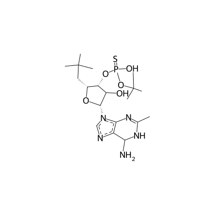 CC1=Nc2c(ncn2[C@@H]2O[C@H](CC(C)(C)C)[C@H](OP(O)(=S)OC(C)(C)C)C2O)C(N)N1